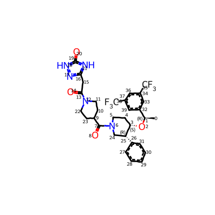 C[C@@H](O[C@H]1CCN(C(=O)C2CCN(C(=O)Cc3n[nH]c(=O)[nH]3)CC2)C[C@H]1c1ccccc1)c1cc(C(F)(F)F)cc(C(F)(F)F)c1